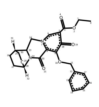 CCOC(=O)c1cn2c(c(OCc3ccccc3)c1=O)C(=O)N1C(C2)[C@H]2CC[C@@H]1CC2